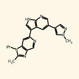 Cc1nc2cnc(-c3c[nH]c4ncc(-c5cnn(C)c5)cc34)cc2n1C(C)C